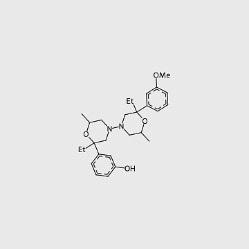 CCC1(c2cccc(O)c2)CN(N2CC(C)OC(CC)(c3cccc(OC)c3)C2)CC(C)O1